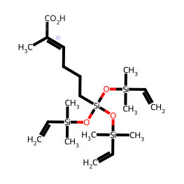 C=C[Si](C)(C)O[Si](CCC/C=C(\C)C(=O)O)(O[Si](C)(C)C=C)O[Si](C)(C)C=C